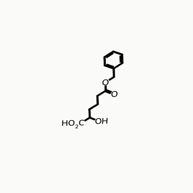 O=C(CCCC(O)C(=O)O)OCc1ccccc1